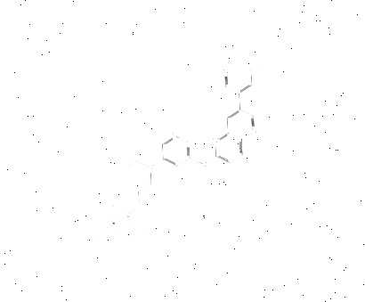 CCN(CCO[Si](C)(C)C(C)(C)C)c1cnnc(Nc2ccc3ncc(/C(C=N)=C/NC)cc3n2)c1